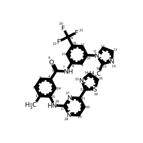 Cc1ccc(C(=O)Nc2cc(-n3ccnc3C)cc(C(F)(F)F)c2)cc1Nc1nccc(-c2nccs2)n1